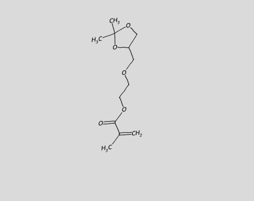 C=C(C)C(=O)OCCOCC1COC(C)(C)O1